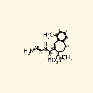 CS(=O)(=O)O.Cc1cccc2c1C=C(C(=O)NC=NN)C(C)CC2